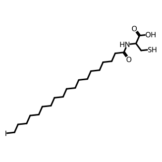 O=C(CCCCCCCCCCCCCCCCCCI)NC(CS)C(=O)O